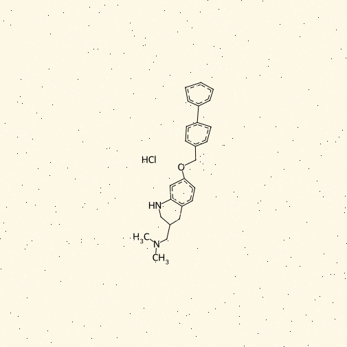 CN(C)CC1CNc2cc(OCc3ccc(-c4ccccc4)cc3)ccc2C1.Cl